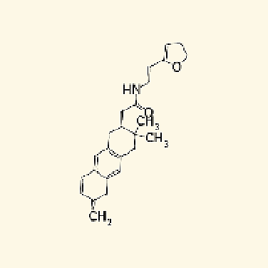 C=C1C=Cc2cc3c(cc2C1)CC(C)(C)[C@H](CC(=O)N/C=C/C1=CCCO1)C3